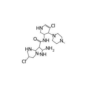 CN1CCN(C2C(Cl)=CNCC2NC(=O)C2C(N)NN3CC(Cl)CNC23)CC1